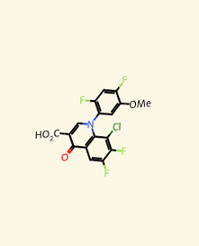 COc1cc(-n2cc(C(=O)O)c(=O)c3cc(F)c(F)c(Cl)c32)c(F)cc1F